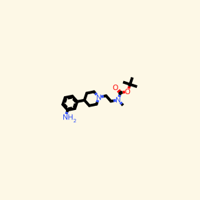 CN(CCN1CCC(c2cccc(N)c2)CC1)C(=O)OC(C)(C)C